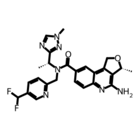 C[C@H](c1ncn(C)n1)N(Cc1ccc(C(F)F)cn1)C(=O)c1ccc2nc(N)c3c(c2c1)CO[C@@H]3C